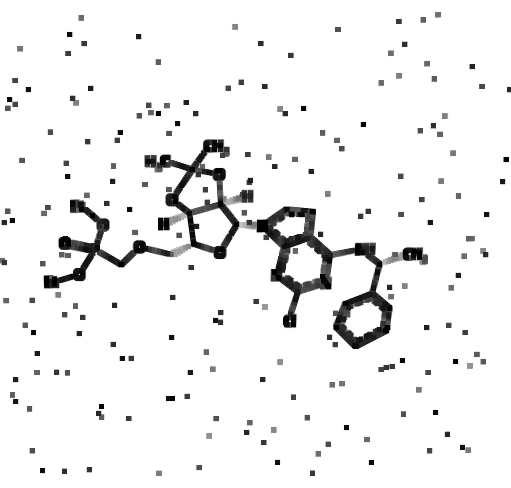 CCOP(=O)(COC[C@H]1O[C@@H](n2ccc3c(N[C@H](C)c4ccccc4)nc(Cl)nc32)[C@@H]2OC(C)(C)O[C@@H]21)OCC